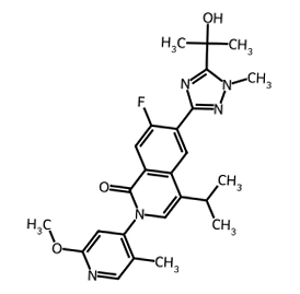 COc1cc(-n2cc(C(C)C)c3cc(-c4nc(C(C)(C)O)n(C)n4)c(F)cc3c2=O)c(C)cn1